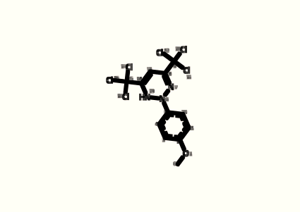 COc1ccc(N2N=C(C(Cl)(Cl)Cl)C=C(C(Cl)(Cl)Cl)N2)cc1